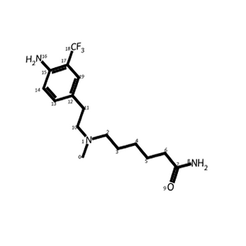 CN(CCCCCC(N)=O)CCc1ccc(N)c(C(F)(F)F)c1